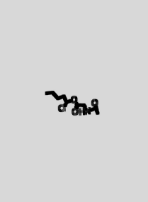 CCCCC(Cl)OC(=O)CNC(C)=O